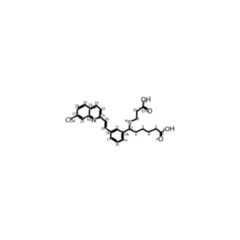 O=C(O)CCCCC(SCCC(=O)O)c1cccc(C=Cc2ccc3ccc(Cl)cc3n2)c1